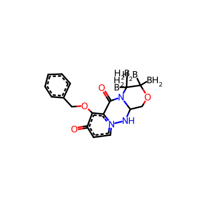 BC1(B)OCC2Nn3ccc(=O)c(OCc4ccccc4)c3C(=O)N2C1(B)B